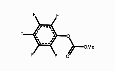 COC(=O)Oc1c(F)c(F)c(F)c(F)c1F